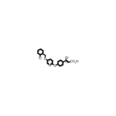 CC/C(=C\C(=O)O)c1ccc(Oc2ccc(OCc3ccccc3Cl)cn2)cc1